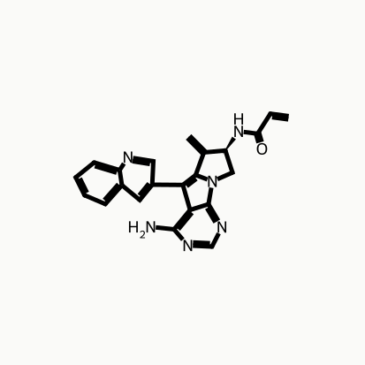 C=CC(=O)N[C@H]1Cn2c(c(-c3cnc4ccccc4c3)c3c(N)ncnc32)C1=C